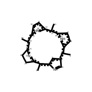 Cc1c2cc(c(C)c3ccc([nH]3)c(C)c3ccc([nH]3)c(C)c3nc1CC3)C=N2